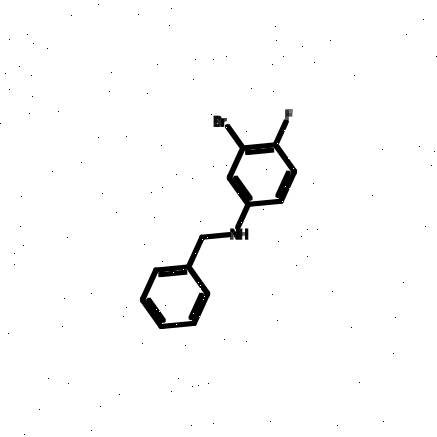 Fc1ccc(NCc2ccccc2)cc1Br